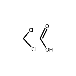 ClCCl.O=CO